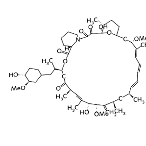 C=C1[C@H](C)C[C@H](C)/C=C/C=C/C=C(\C)[C@@H](OC)CC2CC[C@@H](C)[C@@](O)(O2)C(=O)C(=O)N2CCCC[C@H]2C(=O)O[C@H](C(C)CC2CC[C@@H](O)[C@H](OC)C2)CC(=O)[C@H](C)/C=C(\C)[C@@H](O)[C@H]1OC